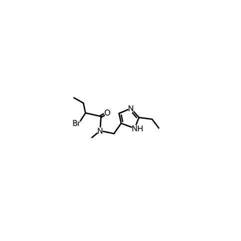 CCc1ncc(CN(C)C(=O)C(Br)CC)[nH]1